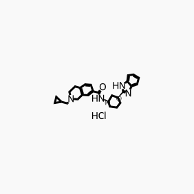 Cl.O=C(N[C@@H]1CCC[C@H](c2nc3ccccc3[nH]2)C1)c1ccc2c(c1)CN(CC1CC1)CC2